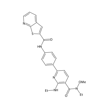 CCNc1nc(-c2ccc(NC(=O)c3cc4cccnc4s3)cc2)ccc1C(=O)N(CC)OC